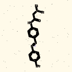 CCCc1ccc(/N=N/c2ccc(NC(=O)CN(CC)CC)cc2)cc1